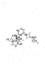 CNC1CN(c2ccnc(N[C@H]3C[C@H]4CC[C@]3(C)C4(C)C)n2)C1